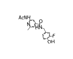 CC(=O)Nc1cc(C(=O)NCc2ccc(O)c(F)c2)cc(C)n1